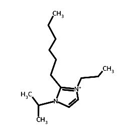 CCCCCCc1n(C(C)C)cc[n+]1CCC